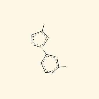 Cc1cnn(-c2cc[c]c(Cl)n2)c1